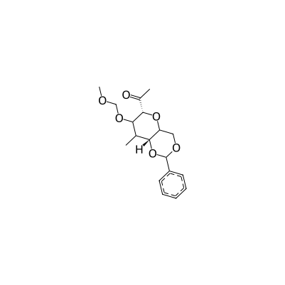 COCOC1C(C)[C@H]2OC(c3ccccc3)OCC2O[C@H]1C(C)=O